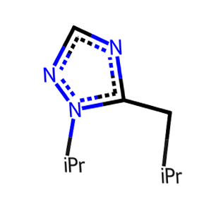 CC(C)Cc1ncnn1C(C)C